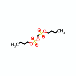 CCCCOS(=O)(=O)COS(=O)(=O)OCCCC